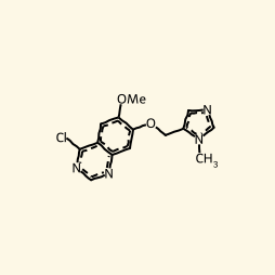 COc1cc2c(Cl)ncnc2cc1OCc1cncn1C